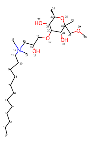 CCCCCCCCCCCC[N+](C)(C)CC(O)COC1[C@@H](O)[C@@H](C)OC(C)(COC)[C@@H]1O